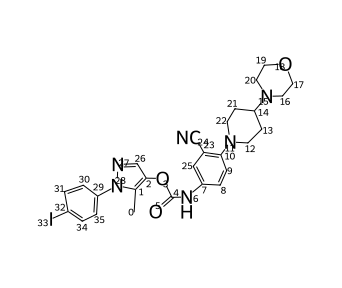 Cc1c(OC(=O)Nc2ccc(N3CCC(N4CCOCC4)CC3)c(C#N)c2)cnn1-c1ccc(I)cc1